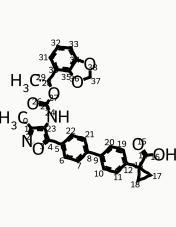 Cc1noc(-c2ccc(-c3ccc(C4(C(=O)O)CC4)cc3)cc2)c1NC(=O)O[C@H](C)c1cccc2c1OCO2